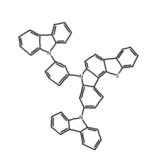 c1cc(-n2c3ccccc3c3ccccc32)cc(-n2c3cc(-n4c5ccccc5c5ccccc54)ccc3c3c4sc5ccccc5c4ccc32)c1